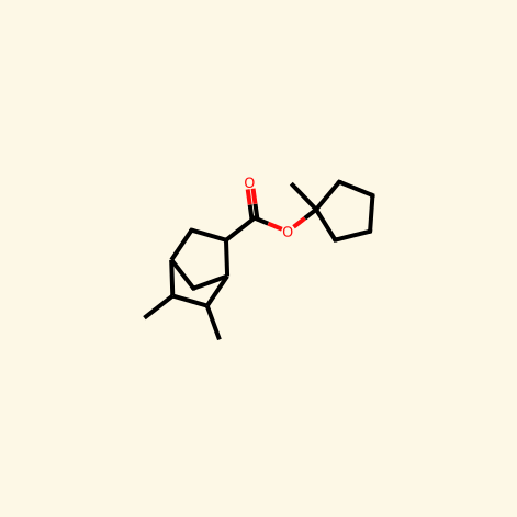 CC1C2CC(C(=O)OC3(C)CCCC3)C(C2)C1C